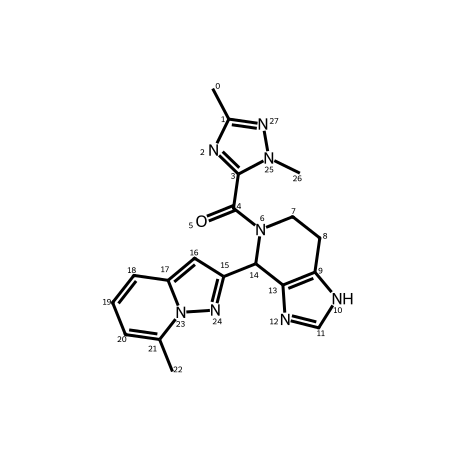 Cc1nc(C(=O)N2CCc3[nH]cnc3C2c2cc3cccc(C)n3n2)n(C)n1